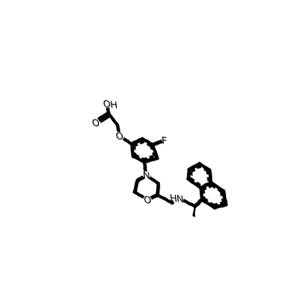 C[C@@H](NCC1CN(c2cc(F)cc(OCC(=O)O)c2)CCO1)c1cccc2ccccc12